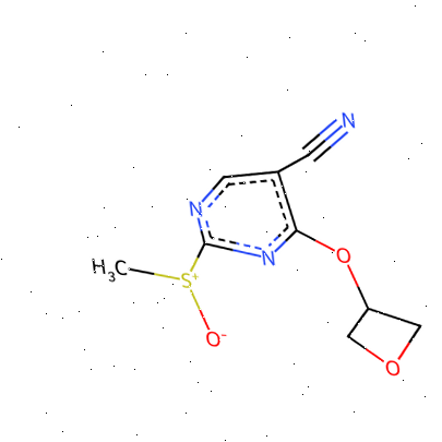 C[S+]([O-])c1ncc(C#N)c(OC2COC2)n1